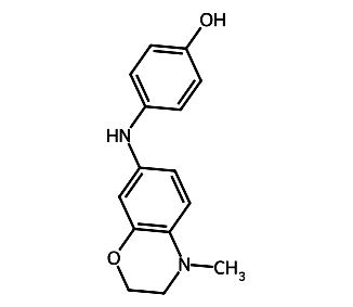 CN1CCOc2cc(Nc3ccc(O)cc3)ccc21